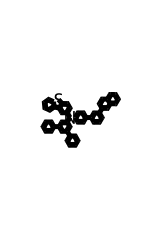 c1ccc(-c2cc(-c3ccccc3)cc(N(c3ccc(-c4cccc(-c5ccc6ccccc6c5)c4)cc3)c3ccc4sc5ccccc5c4c3)c2)cc1